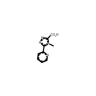 Cn1c(C(=O)O)nnc1-c1ccccn1